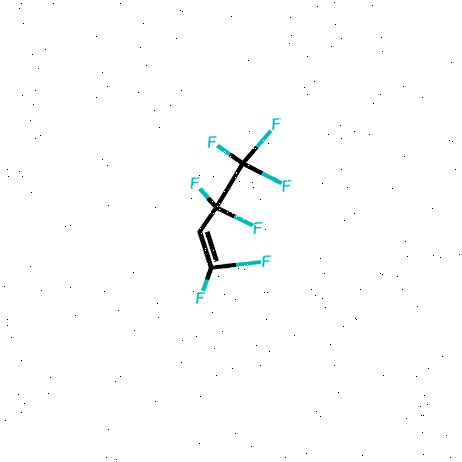 FC(F)=CC(F)(F)C(F)(F)F